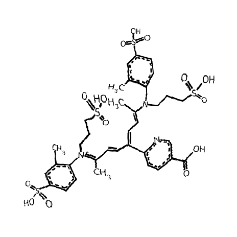 C\C(=C/C=C(/C=C/C(C)=[N+](\CCCS(=O)(=O)O)c1ccc(S(=O)(=O)O)cc1C)c1ccc(C(=O)O)cn1)N(CCCS(=O)(=O)O)c1ccc(S(=O)(=O)O)cc1C